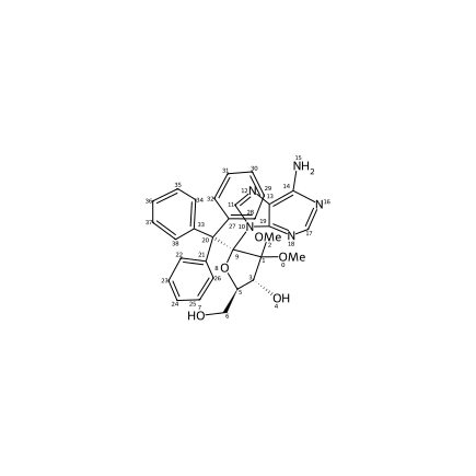 COC1(OC)[C@H](O)[C@@H](CO)O[C@]1(n1cnc2c(N)ncnc21)C(c1ccccc1)(c1ccccc1)c1ccccc1